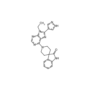 CCn1c(-c2cn[nH]c2)nc2c(N3CCC4(CC3)C(=O)Nc3ccccc34)ncnc21